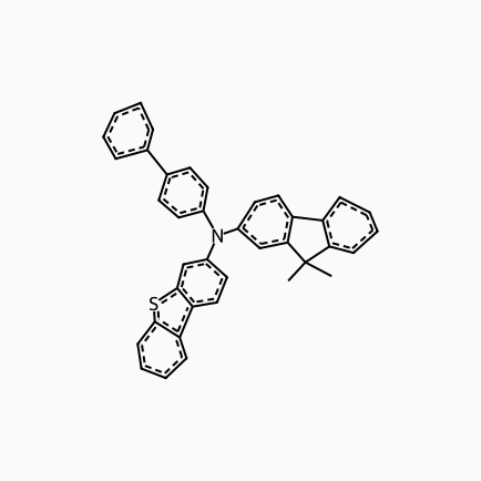 CC1(C)c2ccccc2-c2ccc(N(c3ccc(-c4ccccc4)cc3)c3ccc4c(c3)sc3ccccc34)cc21